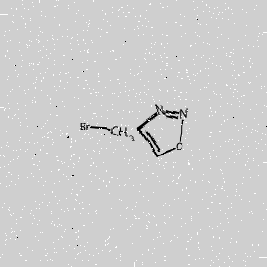 CBr.c1conn1